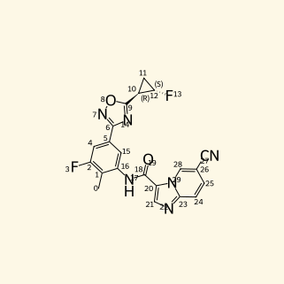 Cc1c(F)cc(-c2noc([C@H]3C[C@@H]3F)n2)cc1NC(=O)c1cnc2ccc(C#N)cn12